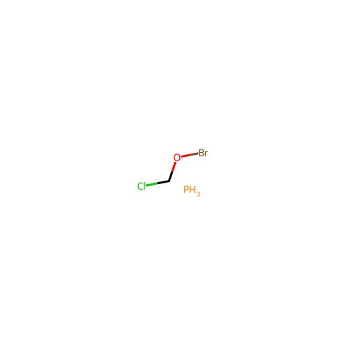 ClCOBr.P